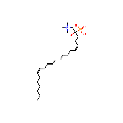 CCCCCC/C=C\CCCCCCCC/C=C\CCC(O)(C[N+](C)(C)C)P(=O)(O)O